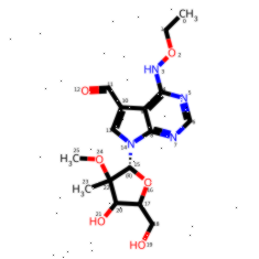 CCONc1ncnc2c1c(C=O)cn2[C@@H]1OC(CO)C(O)C1(C)OC